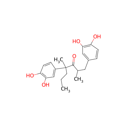 CCCC(C)(C(=O)C(C)Cc1ccc(O)c(O)c1)c1ccc(O)c(O)c1